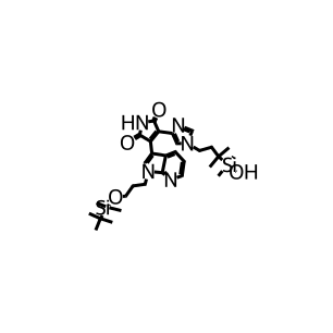 CC(C)(CCn1cnc(C2=C(c3cn(CCCO[Si](C)(C)C(C)(C)C)c4ncccc34)C(=O)NC2=O)c1)[Si](C)(C)O